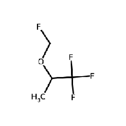 CC(OCF)C(F)(F)F